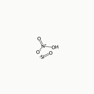 O=[N+]([O-])O.O=[Si]